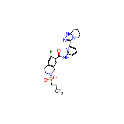 O=C(Nc1cccc(-c2nnc3n2CCCC3)n1)c1cc2c(cc1F)CCN(S(=O)(=O)CCC(F)(F)F)C2